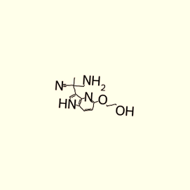 CC(C#N)(CN)c1c[nH]c2ccc(OCCO)nc12